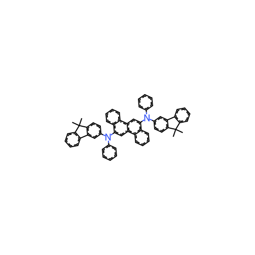 CC1(C)c2ccccc2-c2cc(N(c3ccccc3)c3cc4c5ccccc5c(N(c5ccccc5)c5ccc6c(c5)-c5ccccc5C6(C)C)cc4c4ccccc34)ccc21